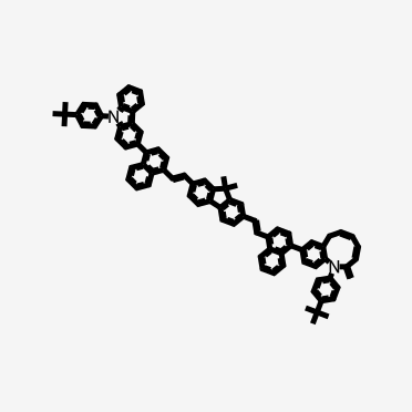 C=C1/C=C\C=C/Cc2cc(-c3ccc(/C=C/c4ccc5c(c4)C(C)(C)c4cc(/C=C/c6ccc(-c7ccc8c(c7)c7ccccc7n8-c7ccc(C(C)(C)C)cc7)c7ccccc67)ccc4-5)c4ccccc34)ccc2N1c1ccc(C(C)(C)C)cc1